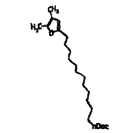 CCCCCCCCCCCCCCCCCCCCCCc1cc(C)c(C)o1